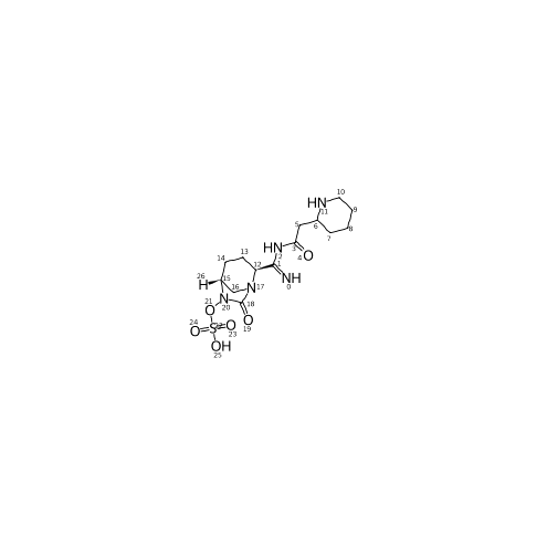 N=C(NC(=O)CC1CCCCN1)[C@@H]1CC[C@@H]2CN1C(=O)N2OS(=O)(=O)O